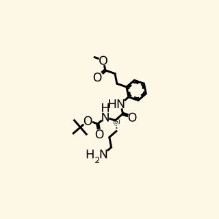 COC(=O)CCc1ccccc1NC(=O)[C@H](CCCN)NC(=O)OC(C)(C)C